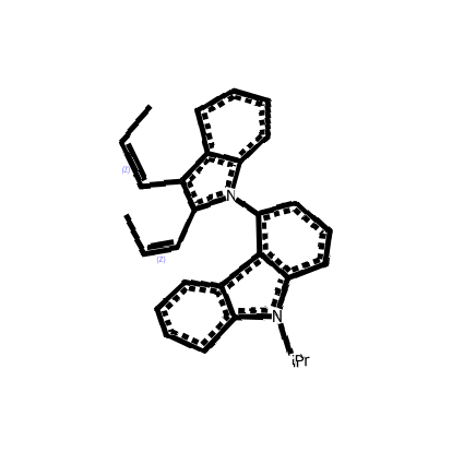 C/C=C\c1c(/C=C\C)n(-c2cccc3c2c2ccccc2n3C(C)C)c2ccccc12